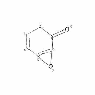 O=C1CC=CC2=C1O2